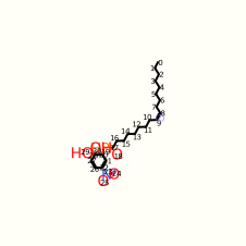 CCCCCCCC/C=C\CCCCCCCC(=O)PC1C=C([N+](=O)[O-])C=CC1(O)O